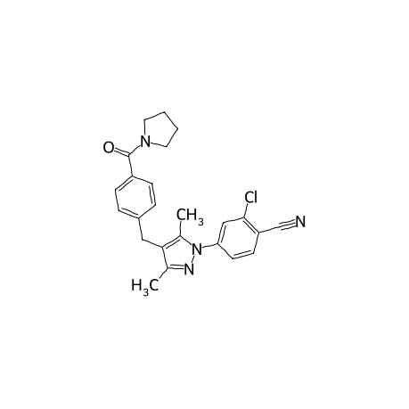 Cc1nn(-c2ccc(C#N)c(Cl)c2)c(C)c1Cc1ccc(C(=O)N2CCCC2)cc1